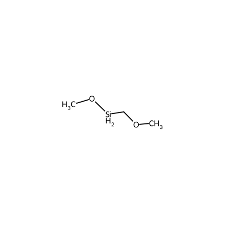 COC[SiH2]OC